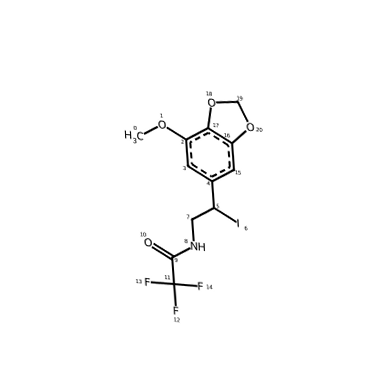 COc1cc(C(I)CNC(=O)C(F)(F)F)cc2c1OCO2